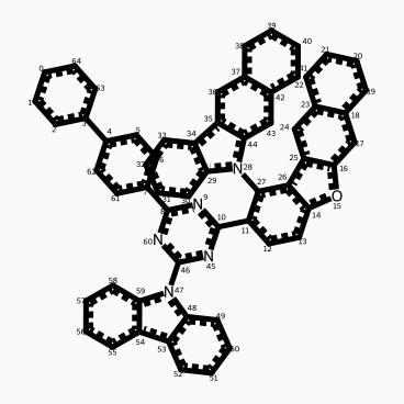 c1ccc(-c2ccc(-c3nc(-c4ccc5oc6cc7ccccc7cc6c5c4-n4c5ccccc5c5cc6ccccc6cc54)nc(-n4c5ccccc5c5ccccc54)n3)cc2)cc1